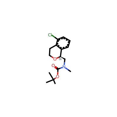 CN(C[C@H]1OCCc2c(Cl)cccc21)C(=O)OC(C)(C)C